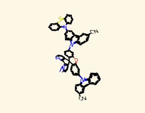 N#Cc1ccc2c(c1)c1ccccc1n2-c1ccc2c(c1)Oc1cc(-n3c4ccc(C#N)cc4c4cc(N5c6ccccc6Sc6ccccc65)ccc43)ccc1C21c2cccnc2-c2ncccc21